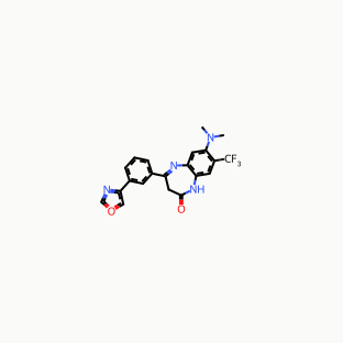 CN(C)c1cc2c(cc1C(F)(F)F)NC(=O)CC(c1cccc(-c3cocn3)c1)=N2